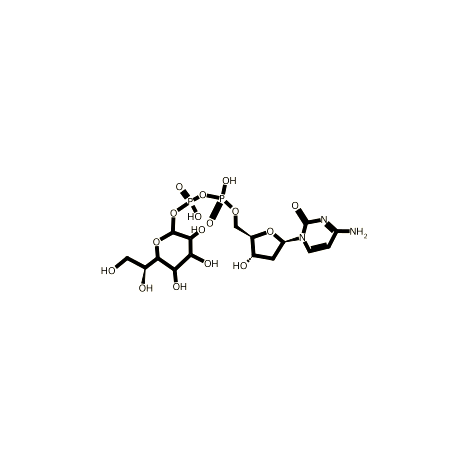 Nc1ccn([C@H]2C[C@H](O)[C@@H](COP(=O)(O)OP(=O)(O)OC3OC([C@@H](O)CO)C(O)C(O)C3O)O2)c(=O)n1